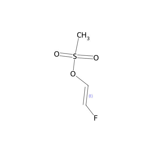 CS(=O)(=O)O/C=C/F